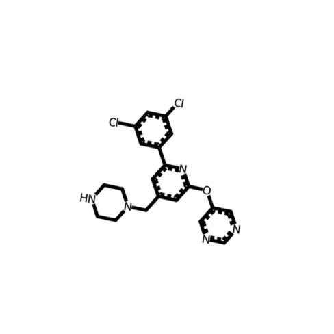 Clc1cc(Cl)cc(-c2cc(CN3CCNCC3)cc(Oc3cncnc3)n2)c1